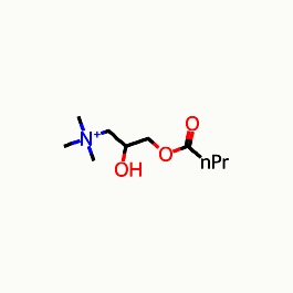 CCCC(=O)OCC(O)C[N+](C)(C)C